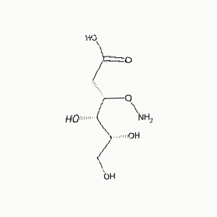 NO[C@@H](CC(=O)O)[C@@H](O)[C@H](O)CO